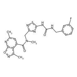 Cc1cc(C(=O)N(C)Cc2nsc(NC(=O)NCc3cccc(F)c3)n2)c2c(C)noc2n1